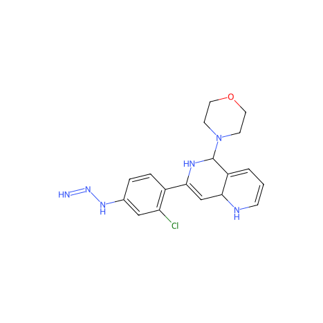 N=NNc1ccc(C2=CC3NC=CC=C3C(N3CCOCC3)N2)c(Cl)c1